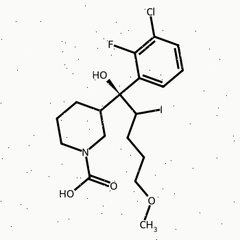 COCCCC(I)[C@@](O)(c1cccc(Cl)c1F)C1CCCN(C(=O)O)C1